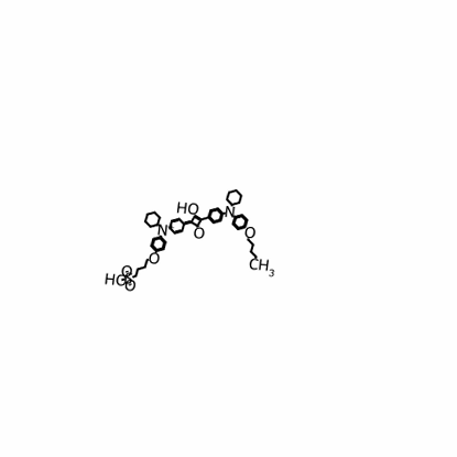 CCCCCOc1ccc(N(c2ccc(C3=C(O)C(=C4C=CC(=[N+](c5ccc(OCCCCS(=O)(=O)O)cc5)C5CCCCC5)C=C4)C3=O)cc2)C2CCCCC2)cc1